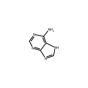 NC1=c2[nH]cnc2=[N+]C=N1